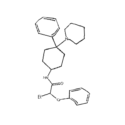 CCC(Oc1ccccc1)C(=O)NC1CCC(c2ccccc2)(N2CCCCC2)CC1